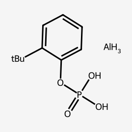 CC(C)(C)c1ccccc1OP(=O)(O)O.[AlH3]